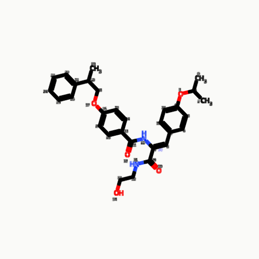 CC(C)Oc1ccc(/C=C(\NC(=O)c2ccc(OCC(C)c3ccccc3)cc2)C(=O)NCCO)cc1